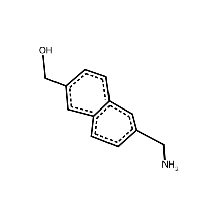 NCc1ccc2cc(CO)ccc2c1